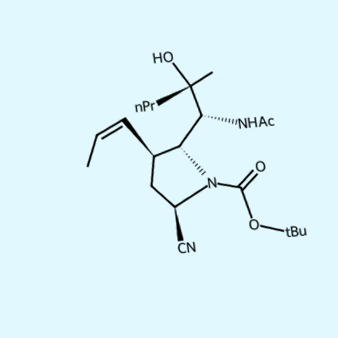 C/C=C\[C@@H]1C[C@H](C#N)N(C(=O)OC(C)(C)C)[C@H]1[C@@H](NC(C)=O)[C@@](C)(O)CCC